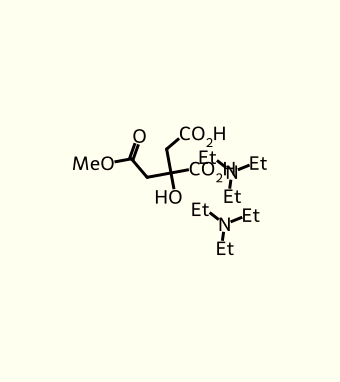 CCN(CC)CC.CCN(CC)CC.COC(=O)CC(O)(CC(=O)O)C(=O)O